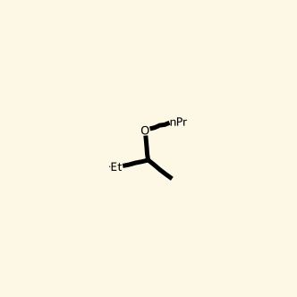 C[CH]C(C)OCCC